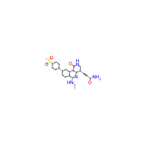 CCNc1nc2c(C#CC(N)=O)c[nH]c(=O)c2c2cc(-c3ccc(S(C)(=O)=O)cc3)ccc12